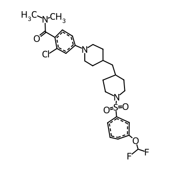 CN(C)C(=O)c1ccc(N2CCC(CC3CCN(S(=O)(=O)c4cccc(OC(F)F)c4)CC3)CC2)cc1Cl